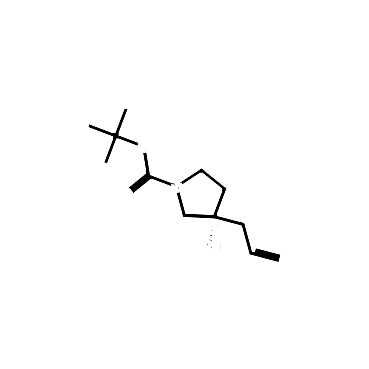 C=CC[C@]1(N)CCN(C(=O)OC(C)(C)C)C1